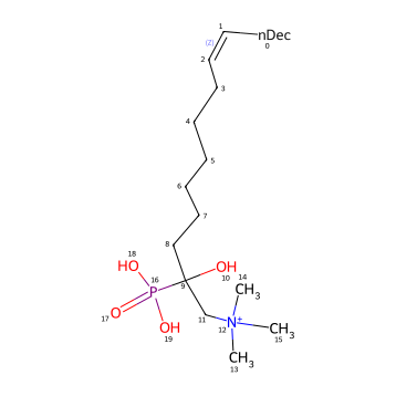 CCCCCCCCCC/C=C\CCCCCCC(O)(C[N+](C)(C)C)P(=O)(O)O